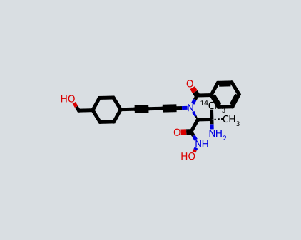 C[C@]([14CH3])(N)[C@@H](C(=O)NO)N(C#CC#CC1CCC(CO)CC1)C(=O)c1ccccc1